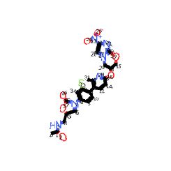 CC(=O)NCC1CN(c2ccc(-c3ccc(O[C@@H]4COc5nc([N+](=O)[O-])cn5C4)nc3C)c(F)c2)C(=O)O1